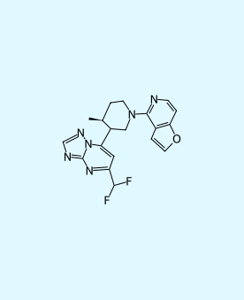 C[C@H]1CCN(c2nccc3occc23)CC1c1cc(C(F)F)nc2ncnn12